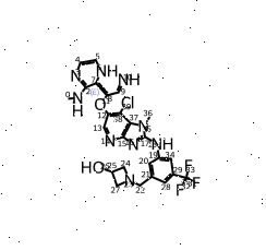 CNC1=NC=CN/C1=C(\C=N)Oc1cnc2nc(Nc3cc(CN4CC(O)C4)cc(C(F)(F)F)c3)n(C)c2c1Cl